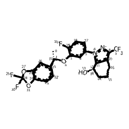 C[C@H](Oc1cc(-n2nc(C(F)(F)F)c3c2[C@H](O)CCC3)ccc1F)c1ccc2c(c1)OC(F)(F)O2